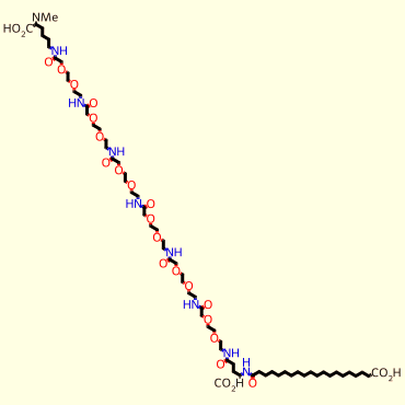 CN[C@@H](CCCCNC(=O)COCCOCCNC(=O)COCCOCCNC(=O)COCCOCCNC(=O)COCCOCCNC(=O)COCCOCCNC(=O)COCCOCCNC(=O)CC[C@H](NC(=O)CCCCCCCCCCCCCCCCCCC(=O)O)C(=O)O)C(=O)O